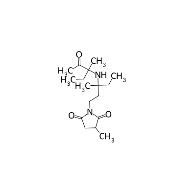 CCC(C)(CCN1C(=O)CC(C)C1=O)NC(C)(CC)C(C)=O